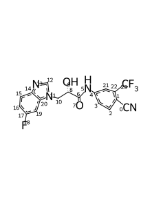 N#Cc1ccc(NC(=O)[C@@H](O)Cn2cnc3ccc(F)cc32)cc1C(F)(F)F